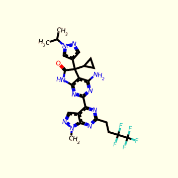 CC(C)n1cc(C2(C3CC3)C(=O)Nc3nc(-c4nc(CCC(F)(F)C(F)(F)F)nc5c4cnn5C)nc(N)c32)cn1